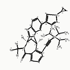 [2H]C([2H])([2H])N1C(=O)c2cccc(C#C[Si](C(C)C)(C(C)C)C(C)C)c2[C@H]2C[C@@H]1c1nc3ccc(-c4cnn(C5CC5)c4)cc3n12